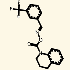 O=C(ON=Cc1cccc(C(F)(F)F)c1)N1CCCc2ccccc21